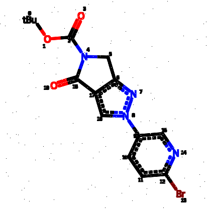 CC(C)(C)OC(=O)N1Cc2nn(-c3ccc(Br)nc3)cc2C1=O